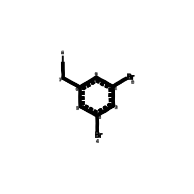 Brc1cc(Br)cc(CI)c1